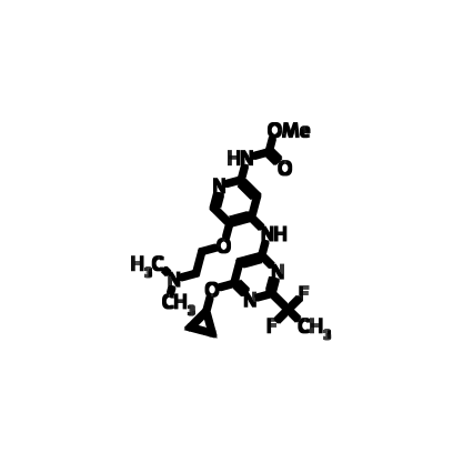 COC(=O)Nc1cc(Nc2cc(OC3CC3)nc(C(C)(F)F)n2)c(OCCN(C)C)cn1